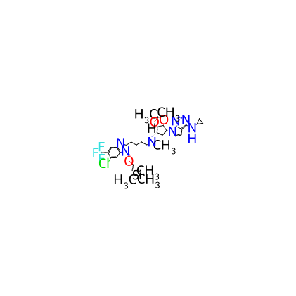 CN(CCCCc1nc2cc(C(F)(F)F)c(Cl)cc2n1COCC[Si](C)(C)C)C[C@H]1C[C@@H](n2ccc3c(NC4CC4)ncnc32)C2OC(C)(C)O[C@@H]21